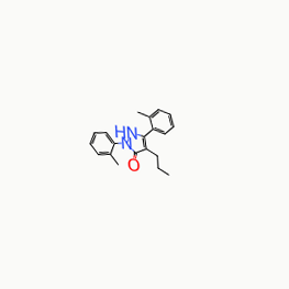 CCCc1c(-c2ccccc2C)[nH]n(-c2ccccc2C)c1=O